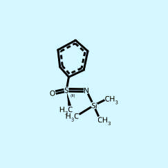 C[Si](C)(C)N=[S@](C)(=O)c1ccccc1